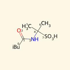 CCC(C)C(=O)NC(C)(C)S(=O)(=O)O